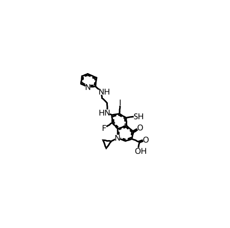 O=C(O)c1cn(C2CC2)c2c(F)c(NCCNc3ccccn3)c(I)c(S)c2c1=O